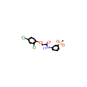 CS(=O)(=O)c1cccc(NC(=O)COc2ccc(Cl)cc2Cl)c1